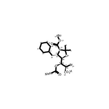 CNC(=O)O[C@@H]([C@@H]1OC(C)(C)N(C(=O)OC(C)(C)C)[C@H]1CC1CCCCC1)[C@@H](Br)C(=O)O